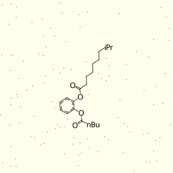 CCCCC(=O)Oc1ccccc1OC(=O)CCCCCCC(C)C